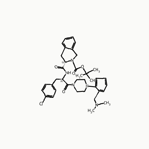 CN(C)Cc1ccccc1N1CCN(C(=O)[C@@H](Cc2ccc(Cl)cc2)NC(=O)[C@@H]2Cc3ccccc3CN2C(=O)OC(C)(C)C)CC1